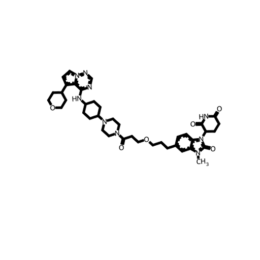 Cn1c(=O)n(C2CCC(=O)NC2=O)c2ccc(CCCOCCC(=O)N3CCN(C4CCC(Nc5ncnn6ccc(C7CCOCC7)c56)CC4)CC3)cc21